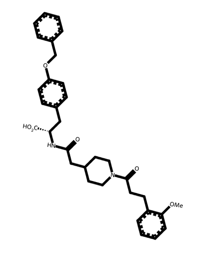 COc1ccccc1CCC(=O)N1CCC(CC(=O)N[C@@H](Cc2ccc(OCc3ccccc3)cc2)C(=O)O)CC1